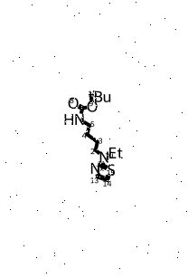 CCN(CCCCNC(=O)OC(C)(C)C)c1nccs1